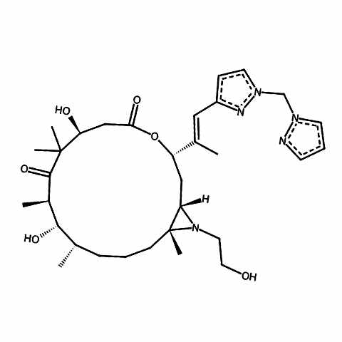 C/C(=C\c1ccn(Cn2cccn2)n1)[C@@H]1C[C@@H]2N(CCO)[C@]2(C)CCC[C@H](C)[C@H](O)[C@@H](C)C(=O)C(C)(C)[C@@H](O)CC(=O)O1